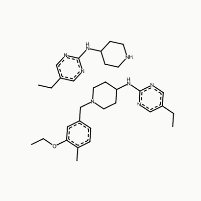 CCOc1cc(CN2CCC(Nc3ncc(CC)cn3)CC2)ccc1C.CCc1cnc(NC2CCNCC2)nc1